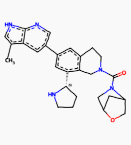 Cc1c[nH]c2ncc(-c3cc4c(c([C@@H]5CCCN5)c3)CN(C(=O)N3CC5CC3CO5)CC4)cc12